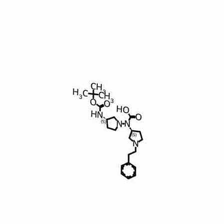 CC(C)(C)OC(=O)N[C@H]1CCN(N(C(=O)O)[C@H]2CCN(CCc3ccccc3)C2)C1